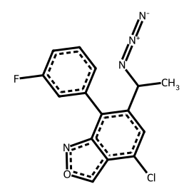 CC(N=[N+]=[N-])c1cc(Cl)c2conc2c1-c1cccc(F)c1